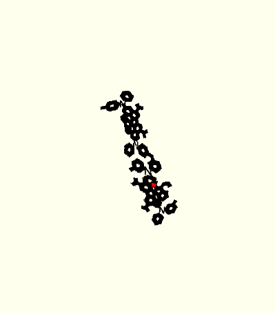 C=CC1=C(/C=C\C)c2ccccc2C12c1c(cc(C(C)C)c3cc(N(c4ccccc4)c4cccc(C)c4)ccc13)-c1cc(C(C)C)c3cc(N(c4cccc(C)c4)c4cccc(Cc5ccc(N(c6ccccc6)c6ccc7c8c(cc(C(C)C)c7c6)-c6cc(C(C)C)c7cc(N(c9ccccc9)c9ccc(C)cc9)ccc7c6C86c7ccccc7-c7ccccc76)cc5)c4)ccc3c12